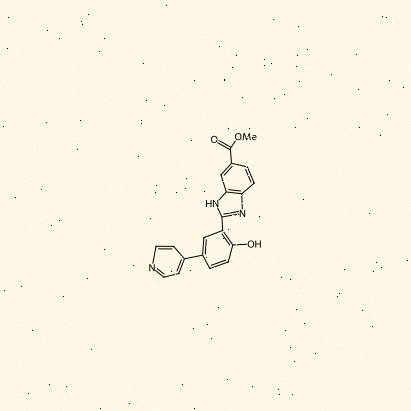 COC(=O)c1ccc2nc(-c3cc(-c4ccncc4)ccc3O)[nH]c2c1